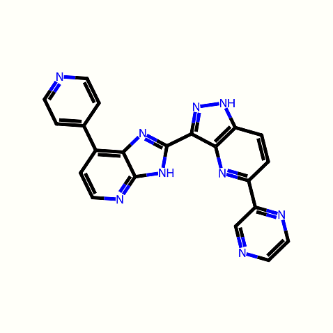 c1cc(-c2ccnc3[nH]c(-c4n[nH]c5ccc(-c6cnccn6)nc45)nc23)ccn1